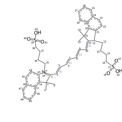 CC1(C)C(/C=C/C=C/C=C/C=C2/C(CCCCS(=O)(=O)O)c3ccc4ccccc4c3C2(C)C)=[N+](CCCCS(=O)(=O)O)c2ccc3ccccc3c21